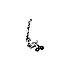 C[Si](C)(CCCN(CC1c2ccccc2-c2ccccc21)C(=O)O)O[Si](C)(C)CSc1ncc(COCCOCCOCCN=[N+]=[N-])cn1